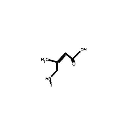 C/C(=C/C(=O)O)CNI